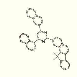 CC1(C)c2ccccc2-c2ccc3ccc(-c4nc(-c5ccc6ccccc6c5)cc(-c5cccc6ccccc56)n4)cc3c21